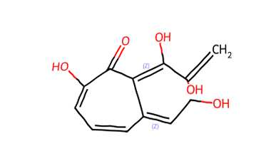 C=C(O)/C(O)=c1/c(=O)c(O)ccc/c1=C/CO